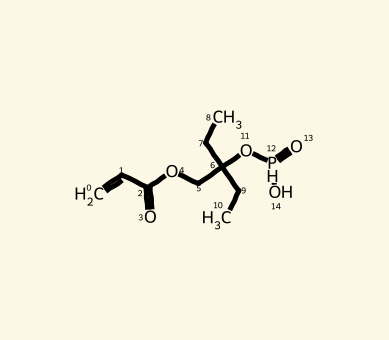 C=CC(=O)OCC(CC)(CC)O[PH](=O)O